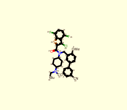 COc1ccc(-c2cccc(C#N)c2)cc1CN(C(=O)c1sc2c(F)ccc(F)c2c1Cl)C1CCC(N(CC(C)(C)C)C(=O)O)CC1